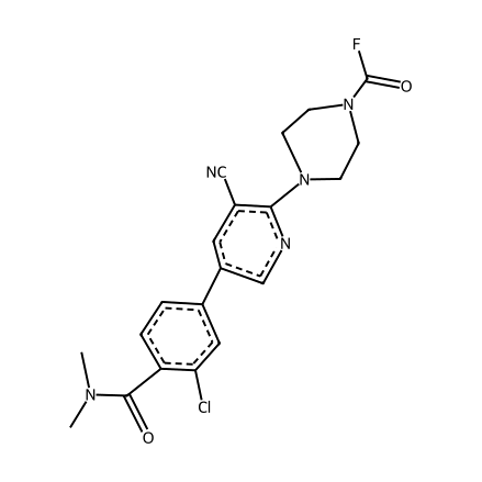 CN(C)C(=O)c1ccc(-c2cnc(N3CCN(C(=O)F)CC3)c(C#N)c2)cc1Cl